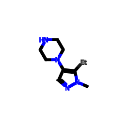 CCc1c(N2CCNCC2)[c]nn1C